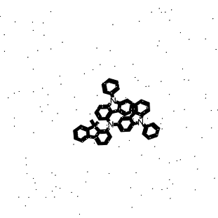 CC1(C)c2ccccc2-c2cccc(N(c3ccc4c(c3)c3ccccc3n4-c3ccccc3)c3cccc4c3c3ccccc3n4-c3ccccc3)c21